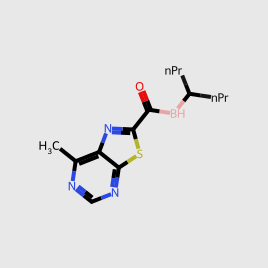 CCCC(BC(=O)c1nc2c(C)ncnc2s1)CCC